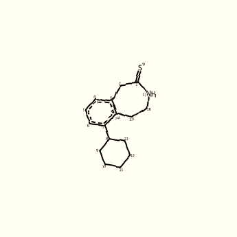 S=C1Cc2cccc(C3CCCCC3)c2CCN1